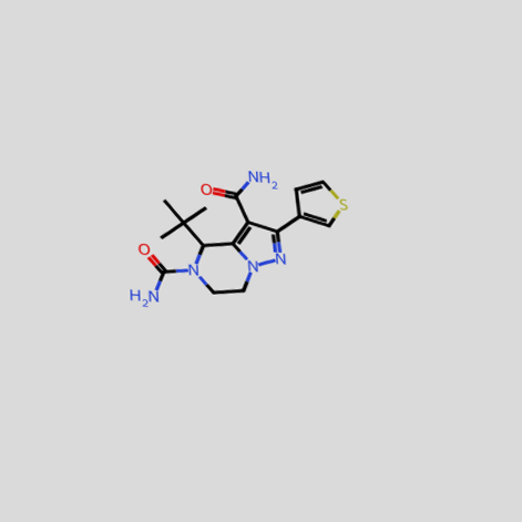 CC(C)(C)C1c2c(C(N)=O)c(-c3ccsc3)nn2CCN1C(N)=O